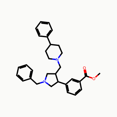 COC(=O)c1cccc(C2CN(Cc3ccccc3)CC2CN2CCC(c3ccccc3)CC2)c1